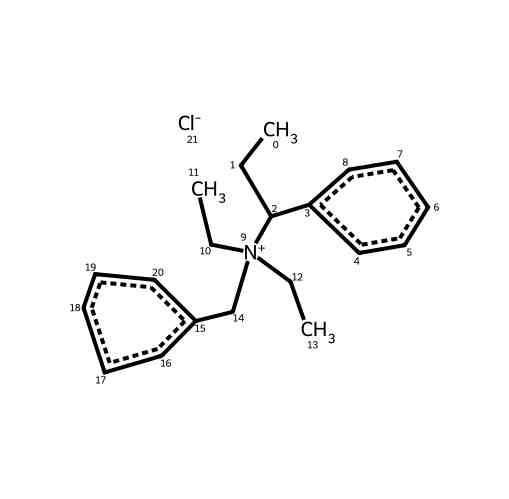 CCC(c1ccccc1)[N+](CC)(CC)Cc1ccccc1.[Cl-]